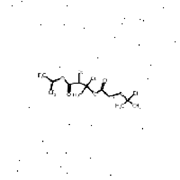 CCC(C(=O)OC(C(F)(F)F)C(F)(F)F)C(C)(CC)OC(=O)CCC(C)(C)CC